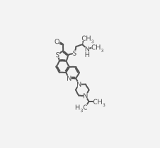 CN[C@H](C)CSc1c(C=O)sc2ccc3nc(N4CCN(C(C)C)CC4)ccc3c12